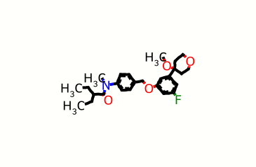 CCC(CC)C(=O)N(C)c1ccc(COc2cc(F)cc(C3(OC)CCOCC3)c2)cc1